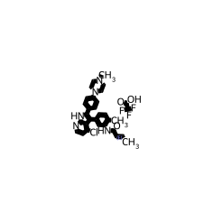 C/C=C/C(=O)Nc1cc(-c2c(-c3ccc(N4CCN(C)CC4)cc3)[nH]c3nccc(Cl)c23)ccc1C.O=C(O)C(F)(F)F